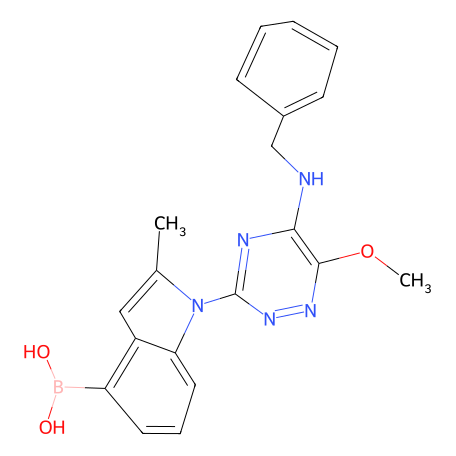 COc1nnc(-n2c(C)cc3c(B(O)O)cccc32)nc1NCc1ccccc1